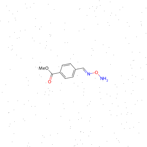 COC(=O)c1ccc(C=NON)cc1